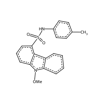 COn1c2ccccc2c2c(S(=O)(=O)Nc3ccc(C)cc3)cccc21